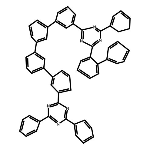 C1=CCCC(c2nc(-c3cccc(-c4cccc(-c5cccc(-c6cccc(-c7nc(-c8ccccc8)nc(-c8ccccc8)n7)c6)c5)c4)c3)nc(-c3ccccc3-c3ccccc3)n2)=C1